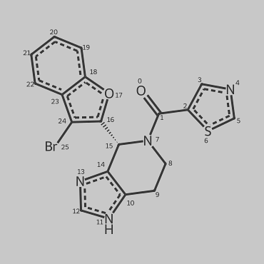 O=C(c1cncs1)N1CCc2[nH]cnc2[C@@H]1c1oc2ccccc2c1Br